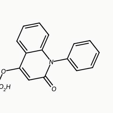 O=C(O)Oc1cc(=O)n(-c2ccccc2)c2ccccc12